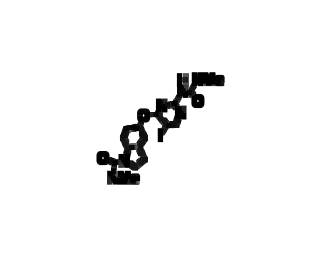 CNC(=O)Nc1ncc(I)c(Oc2ccc3c(ccn3C(=O)NC)c2)n1